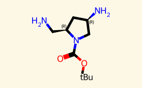 CC(C)(C)OC(=O)N1C[C@H](N)C[C@@H]1CN